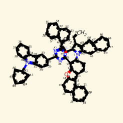 C=Cc1c(/C=C\C)n(-c2ccc3c(oc4ccc5ccccc5c43)c2-c2nc(-c3ccc4c(c3)c3ccccc3n4-c3ccccc3)nc(-c3cccc4ccccc34)n2)c2cc3ccccc3cc12